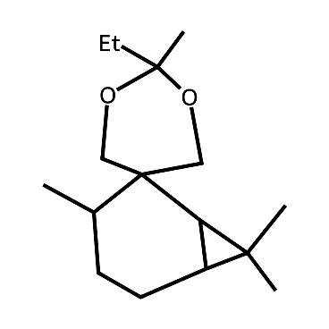 CCC1(C)OCC2(CO1)C(C)CCC1C2C1(C)C